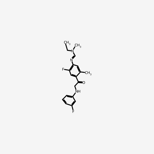 CCN(C)C=Nc1cc(C)c(C(=O)CNc2cccc(F)c2)cc1F